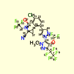 Cn1nc(C(F)(F)C(F)(F)F)c(OC(F)F)c1-n1cc(-c2ccc(Cl)c(C(=O)N(CC(F)(F)F)C3(C#N)CC3)c2)cn1